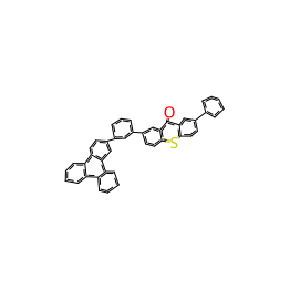 O=c1c2cc(-c3ccccc3)ccc2sc2ccc(-c3cccc(-c4ccc5c6ccccc6c6ccccc6c5c4)c3)cc12